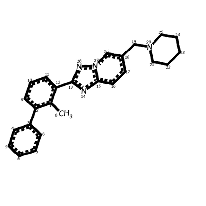 Cc1c(-c2ccccc2)cccc1-c1nc2ccc(CN3CCCCC3)cn2n1